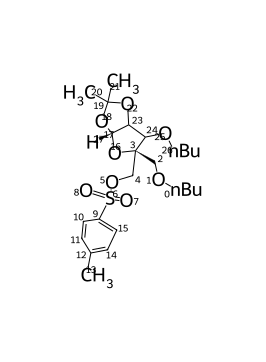 CCCCOC[C@@]1(COS(=O)(=O)c2ccc(C)cc2)O[C@@H]2OC(C)(C)OC2C1OCCCC